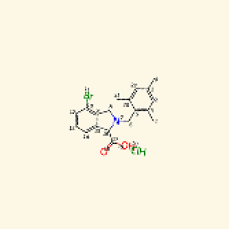 Cc1cc(C)c(CN2Cc3c(Br)cccc3C2C(=O)O)c(C)c1.Cl